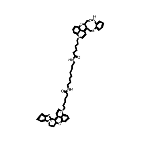 O=C(CCCCCN1C=CC2=C3CSc4ccccc4NCCC3Oc3cccc1c32)NCCCCCCCCNC(=O)CCCCCN1C=CC2=C3c4sc5ccccc5[n+]4CCC3Oc3cccc1c32